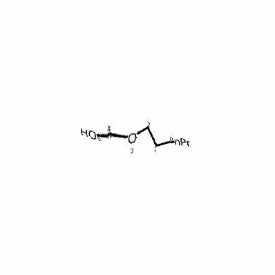 CCCCCO[C]O